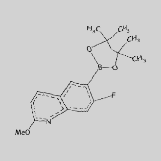 COc1ccc2cc(B3OC(C)(C)C(C)(C)O3)c(F)cc2n1